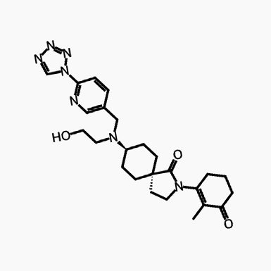 CC1=C(N2CC[C@]3(CC[C@H](N(CCO)Cc4ccc(-n5cnnn5)nc4)CC3)C2=O)CCCC1=O